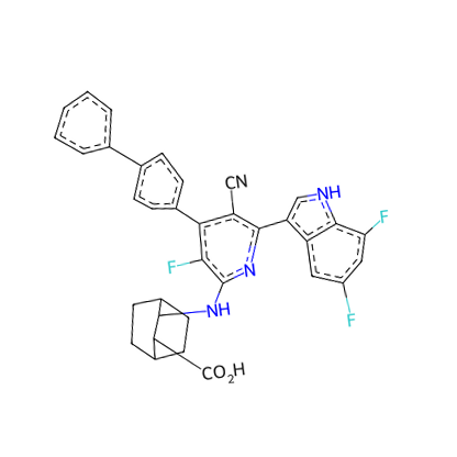 N#Cc1c(-c2c[nH]c3c(F)cc(F)cc23)nc(NC2C3CCC(CC3)C2C(=O)O)c(F)c1-c1ccc(-c2ccccc2)cc1